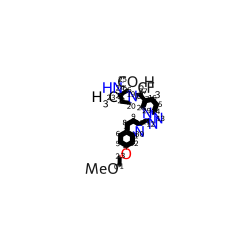 COCCOc1ccc2ccc(-c3nnc4ccc([C@H](N5CCC(C)(NC(=O)O)C5)C(F)(F)F)cn34)nc2c1